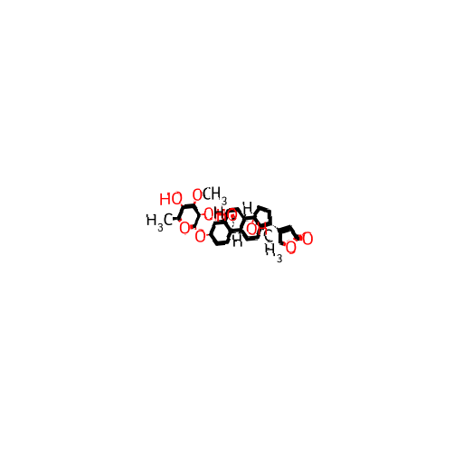 CO[C@H]1[C@H](O)[C@H](O[C@H]2CC[C@@]3(CO)[C@H](CC[C@@H]4[C@@H]3CC[C@]3(C)[C@@H](C5=CC(=O)OC5)CC[C@]43O)C2)O[C@@H](C)[C@@H]1O